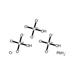 [Cr].[O-][Cl+3]([O-])([O-])O.[O-][Cl+3]([O-])([O-])O.[O-][Cl+3]([O-])([O-])O.[PbH2]